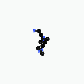 N#Cc1cccc(-c2ccc(-c3cc(-c4ccccc4-c4ccccc4-c4ccc(-c5nc(-c6ccccc6)nc6ccccc56)cc4)nc(-c4ccccc4)n3)cc2)c1